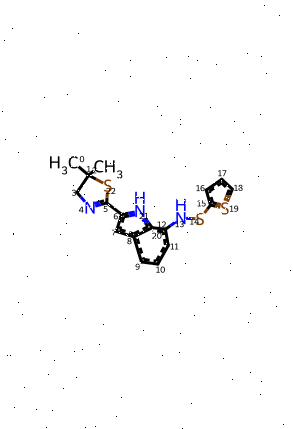 CC1(C)CN=C(c2cc3cccc(NSc4cccs4)c3[nH]2)S1